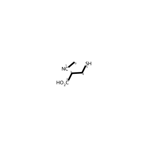 CC#N.O=C(O)CCS